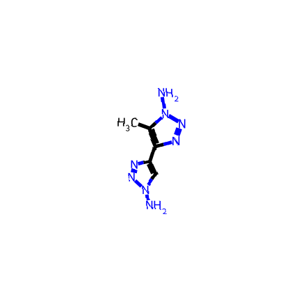 Cc1c(-c2cn(N)nn2)nnn1N